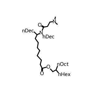 CCCCCCCCCCC(CCCCCCCC(=O)OCC(CCCCCC)CCCCCCCC)N(CCCCCCCCCC)C(=O)CCN(C)C